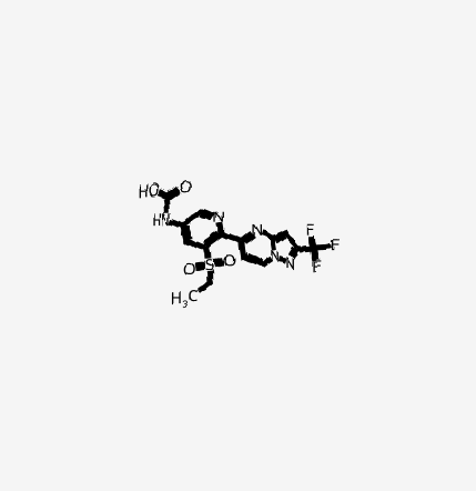 CCS(=O)(=O)c1cc(NC(=O)O)cnc1-c1ccn2nc(C(F)(F)F)cc2n1